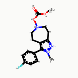 CC(C)n1nc2c(c1-c1ccc(F)cc1)CCN(OC(=O)OC(C)(C)C)CC2